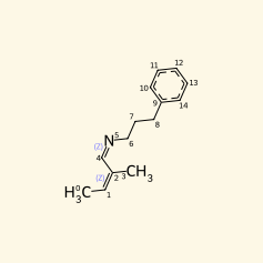 C/C=C(C)\C=N/CCCc1ccccc1